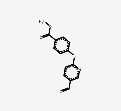 COC(=O)c1ccc(Sc2ccc(C=O)cn2)cc1